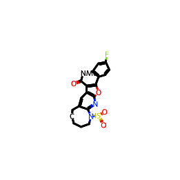 CNC(=O)c1c(-c2ccc(F)cc2)oc2nc3c(cc12)CCCCCN3[SH](=O)=O